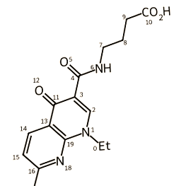 CCn1cc(C(=O)NCCCC(=O)O)c(=O)c2ccc(C)nc21